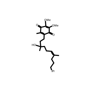 COC1=C(OC)C(=O)C(CCC(C)(O)CCC=C(C)CCCC(C)C)=C(C)C1=O